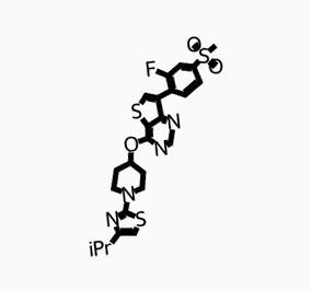 CC(C)c1csc(N2CCC(Oc3ncnc4c(-c5ccc(S(C)(=O)=O)cc5F)csc34)CC2)n1